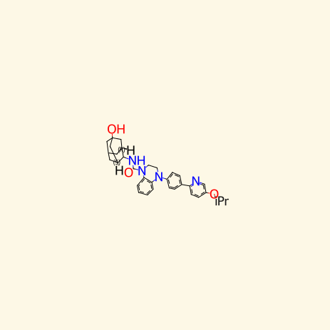 CC(C)Oc1ccc(-c2ccc(N3CCN(C(=O)NC4[C@@H]5CC6C[C@H]4CC(O)(C6)C5)c4ccccc43)cc2)nc1